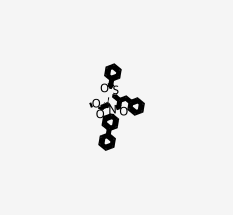 COC(=O)[C@H](C)N(C(=O)C(CSC(=O)c1ccccc1)Cc1ccccc1)c1ccc(-c2ccccc2)cc1